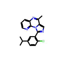 Cc1nc2cccnc2n2c(-c3cc(C(C)C)ccc3Cl)ncc12